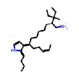 C/C=C\CC/C(CCCCC[C@H](CN)C(C)(CC)CC)=c1/cc[nH]/c1=C\CCC